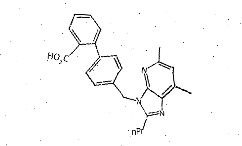 CCCc1nc2c(C)cc(C)nc2n1Cc1ccc(-c2ccccc2C(=O)O)cc1